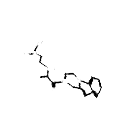 CCN(CC)CCNC(C)C(=O)N1CCn2c(cc3ccccc32)C1